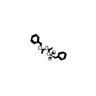 CC(OCc1ccccc1)OC(C)OS(=O)(=O)Cc1ccccc1